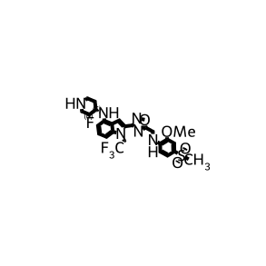 COc1cc(S(C)(=O)=O)ccc1NCc1nc(-c2cc3c(N[C@H]4CCNC[C@H]4F)cccc3n2CC(F)(F)F)no1